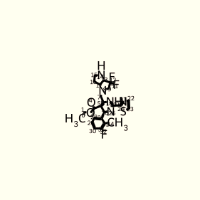 CCOC(=O)C1=C(CN2CC(F)(F)C3NCCC32)NC(c2nccs2)=NC1c1cccc(F)c1C